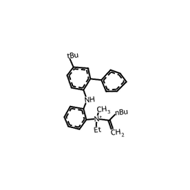 C=C(CCCC)[N+](C)(CC)c1ccccc1Nc1ccc(C(C)(C)C)cc1-c1ccccc1